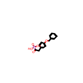 O=C(Cc1ccc(OCc2ccccc2)cc1)P(=O)(O)O